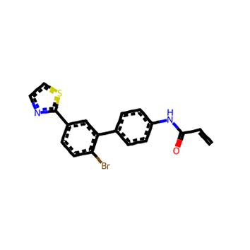 C=CC(=O)Nc1ccc(-c2cc(-c3nccs3)ccc2Br)cc1